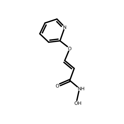 O=C(C=COc1ccccn1)NO